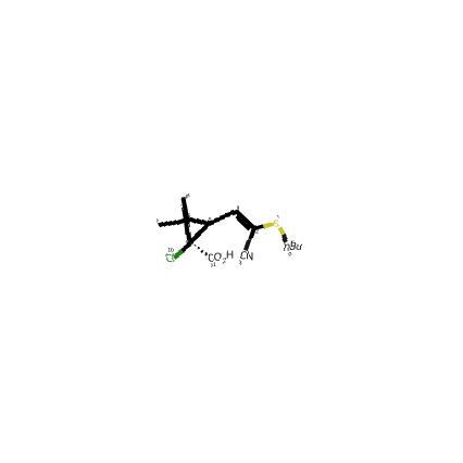 CCCCS/C(C#N)=C/C1C(C)(C)[C@@]1(Cl)C(=O)O